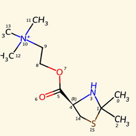 CC1(C)N[C@H](C(=O)OCC[N+](C)(C)C)CS1